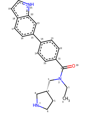 CCN(C[C@@H]1CCNC1)C(=O)c1ccc(-c2ccc3cc[nH]c3c2)cc1